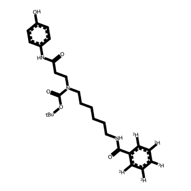 [2H]c1c([2H])c([2H])c(C(=O)NCCCCCCN(CCC(=O)Nc2ccc(O)cc2)C(=O)OC(C)(C)C)c([2H])c1[2H]